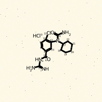 Cl.N=C(N)NC(=O)c1ccc(Cl)c(N(C(N)=O)C2CCCCC2)c1